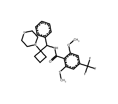 COc1cc(C(F)(F)F)cc(SC)c1C(=O)NC(c1ccccc1)C1(N2CCSCC2)CCC1